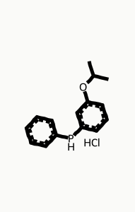 CC(C)Oc1cccc(Pc2ccccc2)c1.Cl